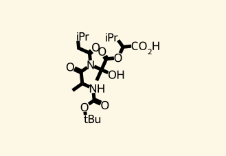 CC(C)CC(=O)N(C(=O)C(C)NC(=O)OC(C)(C)C)C(C)(O)C(=O)OC(C(=O)O)C(C)C